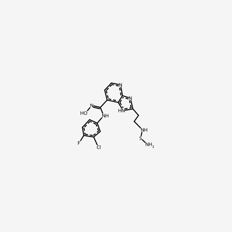 NSNCCc1nc2nccc(/C(=N/O)Nc3ccc(F)c(Cl)c3)c2[nH]1